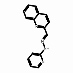 C(=NNc1ccccn1)c1ccc2ccccc2n1